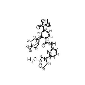 C[C@@H]1CN(c2cccc(NC(=O)c3ccc(S(C)(=O)=O)cc3N3CCC4(CC3)CC4)n2)CCO1